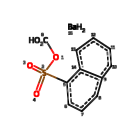 O=C(O)OS(=O)(=O)c1cccc2ccccc12.[BaH2]